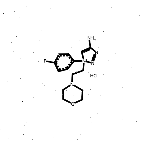 Cl.NC1=C[N+](CCN2CCOCC2)(c2ccc(F)cc2)N=N1